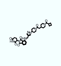 O=C1CCC(N2C(=O)c3cccc(NCc4cnn(C5CCN(C(=O)CC6CCN(C(=O)C7CCC7)CC6)CC5)c4)c3C2=O)C(=O)N1